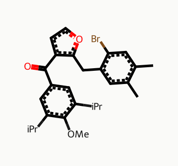 COc1c(C(C)C)cc(C(=O)c2ccoc2Cc2cc(C)c(C)cc2Br)cc1C(C)C